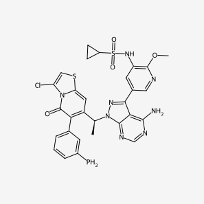 COc1ncc(-c2nn([C@@H](C)c3cc4scc(Cl)n4c(=O)c3-c3cccc(P)c3)c3ncnc(N)c23)cc1NS(=O)(=O)C1CC1